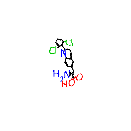 N[C@H](Cc1ccc2nc(-c3c(Cl)cccc3Cl)ccc2c1)C(=O)O